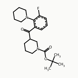 CC(C)(C)OC(=O)N1CCCC(C(=O)c2cccc(F)c2N2CCCCC2)C1